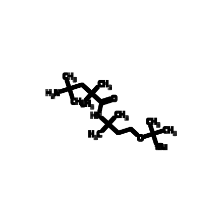 CC(C)(N)CC(C)(C)C(=O)NC(C)(C)CCOC(C)(C)C(C)(C)C